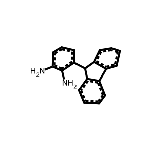 Nc1cccc(C2c3ccccc3-c3ccccc32)c1N